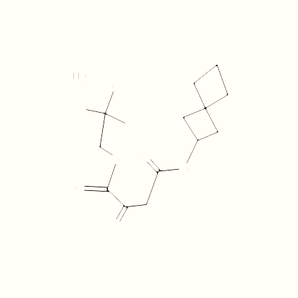 C=C(CC(=O)OC1CC2(CCC2)C1)C(=O)OCC(O)(O)C(F)(F)F.O